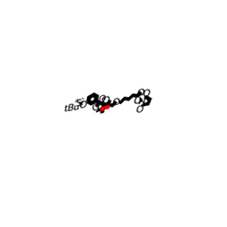 CC(C)(COCCCCC(=O)ON1C(=O)CCC1=O)C12OOC1(c1cccc(O[Si](C)(C)C(C)(C)C)c1)OCC2(C)C